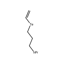 C=C[Te]CCCCCC